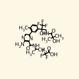 Cc1ccc(C(O)(CNC(=O)C(C)(C)O)C(F)(F)F)cc1-c1cnc(N)c(C(=O)NC(C)C)n1.O=C(O)C(F)(F)F